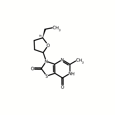 CC[C@@H]1CCC(n2c(=O)sc3c(=O)[nH]c(C)nc32)O1